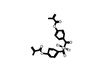 C=C(C)C(=O)Oc1ccc([C](=O)[Ge]([CH2]C)([CH2]C)[C](=O)c2ccc(OC(=O)C(=C)C)cc2)cc1